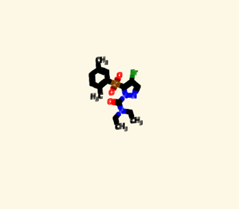 CCN(CC)C(=O)n1ncc(Br)c1S(=O)(=O)c1cc(C)ccc1C